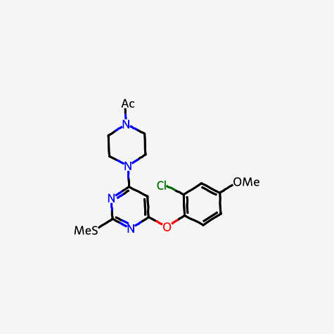 COc1ccc(Oc2cc(N3CCN(C(C)=O)CC3)nc(SC)n2)c(Cl)c1